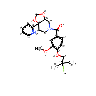 COc1cc(C(=O)N2CCC3(c4ccccn4)OCOC3C2)ccc1OCC(C)(C)F